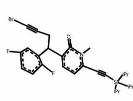 CC(C)[Si](C#Cc1ccc(C(CC#CBr)c2cc(F)ccc2F)c(=O)n1C)(C(C)C)C(C)C